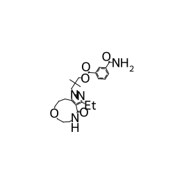 CCc1nn(CC(C)(C)COC(=O)c2cccc(C(N)=O)c2)c2c1C(=O)NCCCOCCC2